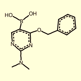 CN(C)c1ncc(B(O)O)c(OCc2ccccc2)n1